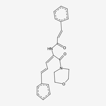 O=C(/C=C/c1ccccc1)NC(=C/C=C/c1ccccc1)C(=O)N1CCOCC1